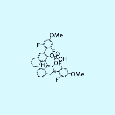 COc1cc(F)c(-c2cc3c(c4c2OP(=O)(O)OC2[C@H]4c4ccccc4C[C@@H]2c2c(F)cc(OC)cc2F)CCCC3)c(F)c1